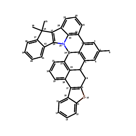 Cc1cc2c3c(c1)C1Cc4sc5ccccc5c4-c4cccc(c41)B3n1c3c(c4cccc-2c41)C(C)(C)c1ccccc1-3